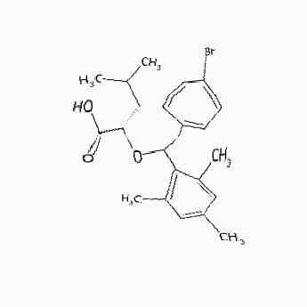 Cc1cc(C)c(C(O[C@@H](CC(C)C)C(=O)O)c2ccc(Br)cc2)c(C)c1